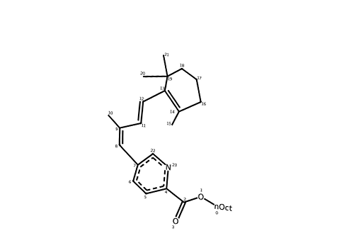 CCCCCCCCOC(=O)c1ccc(C=C(C)C=CC2=C(C)CCCC2(C)C)cn1